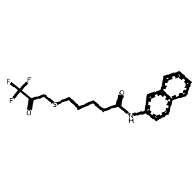 O=C([CH]CCCSCC(=O)C(F)(F)F)Nc1ccc2ccccc2c1